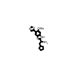 COc1cc2[nH]c(C(N)CC3CCCC3)nc2cc1-c1cnco1